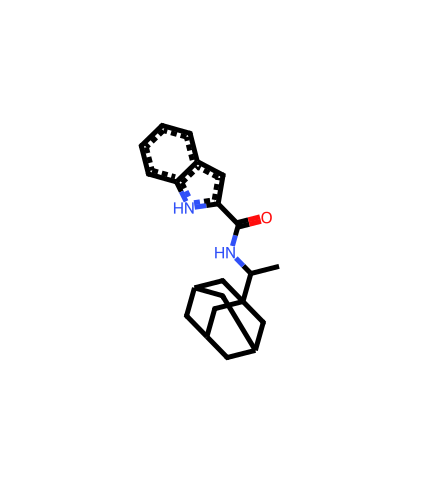 CC(NC(=O)c1cc2ccccc2[nH]1)C12CC3CC(CC(C3)C1)C2